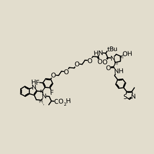 Cc1ncsc1-c1ccc(CNC(=O)[C@@H]2C[C@@H](O)CN2C(=O)C(NC(=O)COCCOCCOCCOc2cc(F)c([C@@H]3c4[nH]c5ccccc5c4C[C@@H](C)N3CC(C)C(=O)O)c(F)c2)C(C)(C)C)cc1